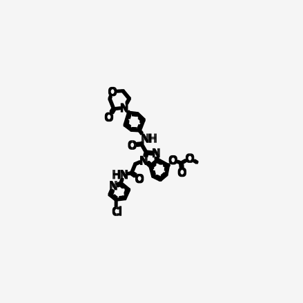 COC(=O)Oc1cccc2c1nc(C(=O)Nc1ccc(N3CCOCC3=O)cc1)n2CC(=O)Nc1ccc(Cl)cn1